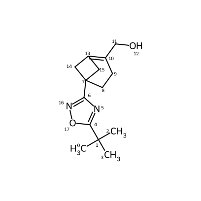 CC(C)(C)c1nc(C23CCC(CO)=C(C2)C3)no1